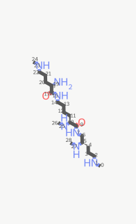 CNCCC[C@@H](CNC(=O)[C@H](CCCCNC(=O)[C@H](N)CCCNC)NC)NC